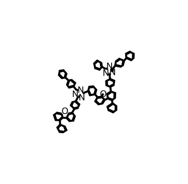 c1ccc(-c2ccc(-c3nc(-c4ccccc4)nc(-c4ccc(-c5ccc(-c6ccccc6)c6c5oc5c(-c7cccc(-c8nc(-c9ccc(-c%10ccccc%10)cc9)nc(-c9ccc(-c%10cccc%11c%10oc%10cccc(-c%12ccccc%12)c%10%11)cc9)n8)c7)cccc56)cc4)n3)cc2)cc1